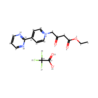 CCOC(=O)CC(=O)C[n+]1ccc(-c2ncccn2)cc1.O=C([O-])C(F)(F)F